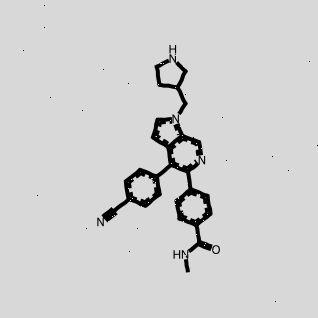 CNC(=O)c1ccc(-c2ncc3c(ccn3CC3CCNC3)c2-c2ccc(C#N)cc2)cc1